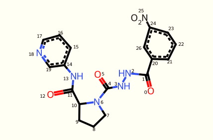 O=C(NNC(=O)N1CCCC1C(=O)Nc1cccnc1)c1cccc([N+](=O)[O-])c1